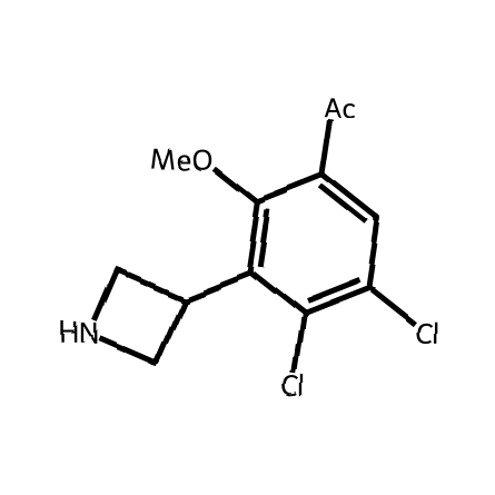 COc1c(C(C)=O)cc(Cl)c(Cl)c1C1CNC1